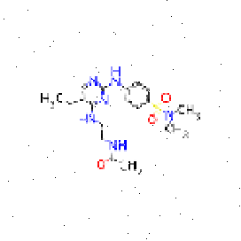 CCc1cnc(Nc2ccc(S(=O)(=O)N(C)C)cc2)nc1NCCNC(C)=O